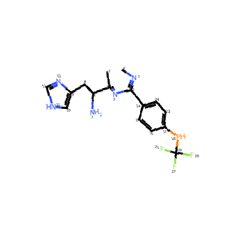 C/N=C(\N=C(/C)C(N)Cc1c[nH]cn1)c1ccc(PC(F)(F)F)cc1